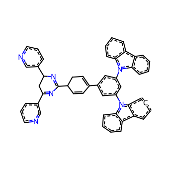 C1=CC(C2=NC(c3cccnc3)CC(c3cccnc3)=N2)CC=C1c1cc(-n2c3ccccc3c3ccccc32)cc(-n2c3ccccc3c3ccccc32)c1